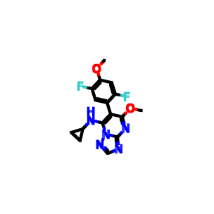 COc1cc(F)c(-c2c(OC)nc3ncnn3c2NC2CC2)cc1F